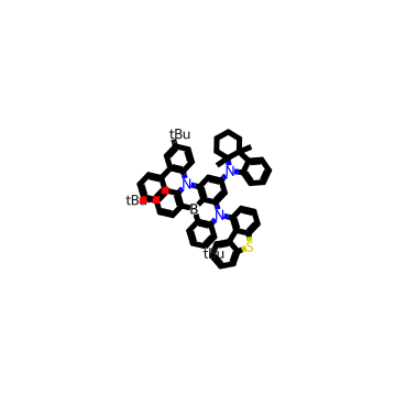 CC(C)(C)c1ccc(N2c3cc(C(C)(C)C)ccc3B3c4ccc(C(C)(C)C)cc4N(c4cccc5sc6ccccc6c45)c4cc(N5c6ccccc6C6(C)CCCCC56C)cc2c43)c(-c2ccccc2)c1